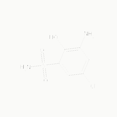 Nc1cc(Cl)cc(S(N)(=O)=O)c1O